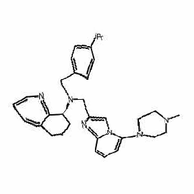 CC(C)c1ccc(CN(Cc2cn3c(N4CCN(C)CC4)cccc3n2)[C@H]2CCCc3cccnc32)cc1